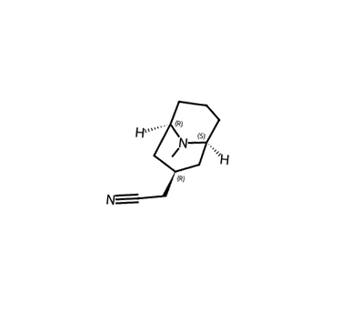 CN1[C@@H]2CCC[C@H]1C[C@@H](CC#N)C2